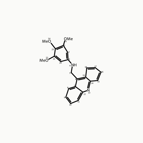 COc1cc(NCc2c3ccccc3nc3ccccc23)cc(OC)c1OC